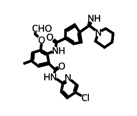 Cc1cc(OCC=O)c(NC(=O)c2ccc(C(=N)N3CCCCC3)cc2)c(C(=O)Nc2ccc(Cl)cn2)c1